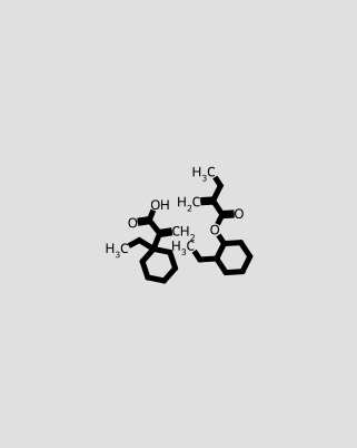 C=C(C(=O)O)C1(CC)CCCCC1.C=C(CC)C(=O)OC1CCCCC1CC